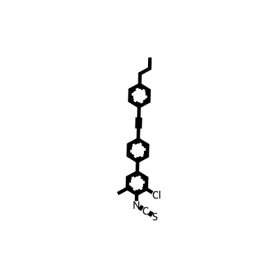 CCCc1ccc(C#Cc2ccc(-c3cc(C)c(N=C=S)c(Cl)c3)cc2)cc1